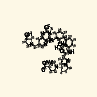 COC(=O)C1CCN([C@H]2CCCn3nc(C(=O)Nc4cccc(-c5cccc(Nc6nc(C(F)(F)F)nc7cc(CN8CC[C@@H](O)C8)cnc67)c5C)c4C)cc32)CC1